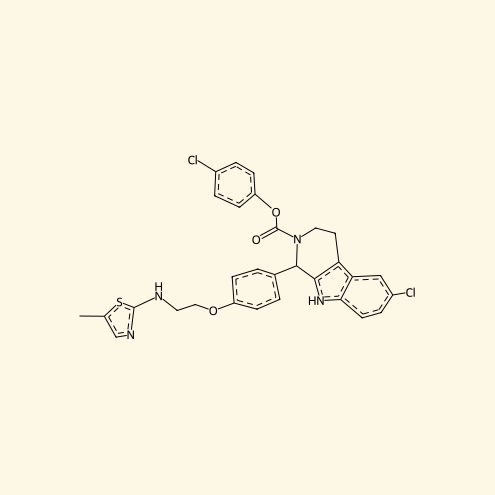 Cc1cnc(NCCOc2ccc(C3c4[nH]c5ccc(Cl)cc5c4CCN3C(=O)Oc3ccc(Cl)cc3)cc2)s1